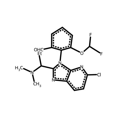 CCC(c1nc2ccc(Cl)nc2n1-c1c(C=O)cccc1OC(F)F)N(C)C